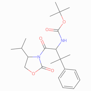 CC(C)C1COC(=O)N1C(=O)C(NC(=O)OC(C)(C)C)C(C)(C)c1ccccc1